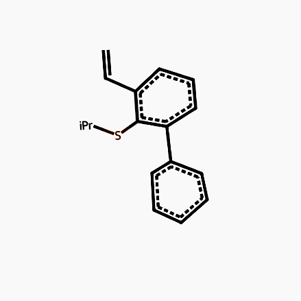 C=Cc1cccc(-c2ccccc2)c1SC(C)C